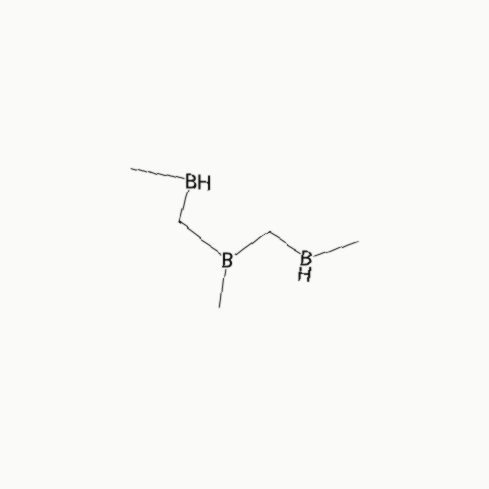 CBCB(C)CBC